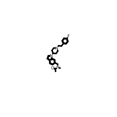 CC(=O)N(C)Cc1ccc2ccn(C3CCN(CCc4ccc(F)cc4)CC3)c2c1